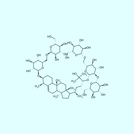 C[C@H](CC[C@@H](O[C@@H]1O[C@H](CO[C@@H]2O[C@H](CO)[C@@H](O)[C@H](O)[C@H]2O)[C@@H](O)[C@H](O)[C@H]1O[C@H]1O[C@@H](CO)[C@H](O)[C@@H](O)[C@@H]1O)C(C)(C)O)C1CC[C@@]2(C)C3CC=C4C(CC[C@H](O[C@@H]5O[C@H](CO[C@H]6O[C@H](CO)[C@@H](O)[C@H](O)[C@H]6O)[C@@H](O)[C@H](O)[C@H]5O)[C@@H]4C)[C@]3(C)CC[C@]12C